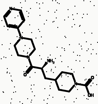 N[C@@H](CC1CCN(C(=O)O)CC1)C(=O)N1CCN(c2ccncc2)CC1